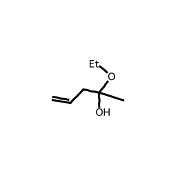 C=CCC(C)(O)OCC